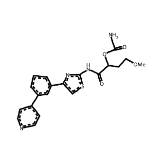 COCCC(OC(N)=O)C(=O)Nc1nc(-c2cccc(-c3ccncc3)c2)cs1